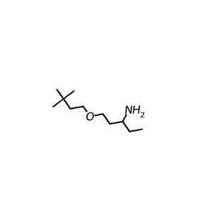 CCC(N)CCOCCC(C)(C)C